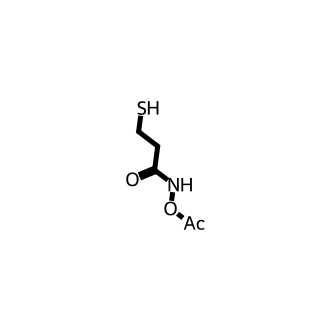 CC(=O)ONC(=O)CCS